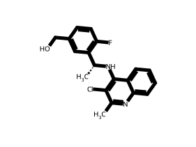 Cc1nc2ccccc2c(N[C@H](C)c2cc(CO)ccc2F)c1Cl